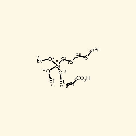 C=CC(=O)O.CCCSSSS[Si](OCC)(OCC)OCC